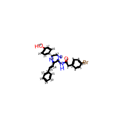 O=C(Cc1ccc(Br)cc1)NC1=NC[C@@H](c2ccc(O)cc2)N=C1/C=C/c1ccccc1